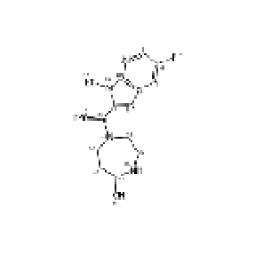 CCC[C@@H](c1nc2cc(F)cnc2n1CC)N1CCNC(C)CC1